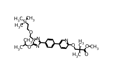 COC(=O)C(C)(C)COc1ccc(-c2ccc(-c3nc(OC(C)C)n(COCC[Si](C)(C)C)n3)cc2)cn1